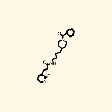 O=C(/C=C/c1cccnc1F)NCCCCC1CCN(C(=O)c2ccccc2)CC1